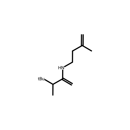 C=C(C)CCNC(=C)C(C)C(C)(C)C